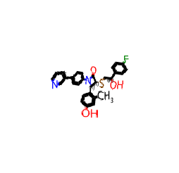 Cc1cc(O)ccc1[C@@H]1[C@@H](SC[C@H](O)c2ccc(F)cc2)C(=O)N1c1ccc(-c2cccnc2)cc1